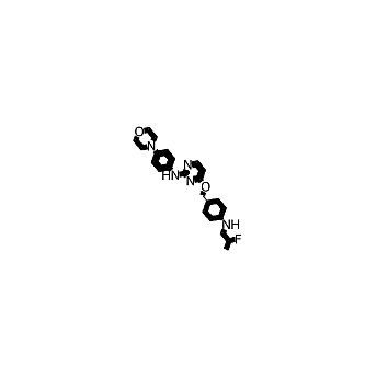 CC(F)CN[C@H]1CC[C@H](COc2ccnc(Nc3ccc(N4CCOCC4)cc3)n2)CC1